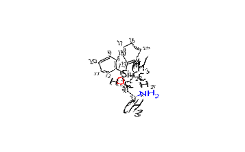 C[C@H](N)CCO[Si](c1ccccc1)(c1ccccc1)C(C)(C)C